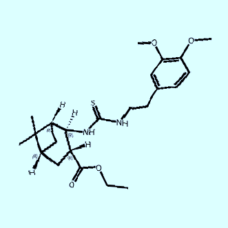 CCOC(=O)[C@@H]1C[C@H]2C[C@@H]([C@H]1NC(=S)NCCc1ccc(OC)c(OC)c1)C2(C)C